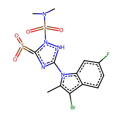 Cc1c(Br)c2ccc(F)cc2n1-c1nc(=S(=O)=O)n(S(=O)(=O)N(C)C)[nH]1